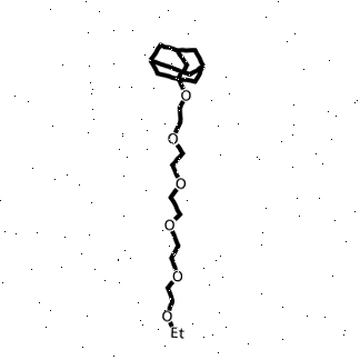 CCOCCOCCOCCOCCOCCOC12CC3CC(CC(C3)C1)C2